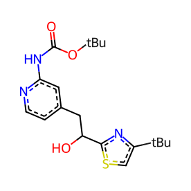 CC(C)(C)OC(=O)Nc1cc(CC(O)c2nc(C(C)(C)C)cs2)ccn1